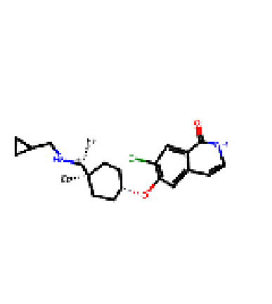 CC[C@@H](NCC1CC1)[C@]1(CC)CC[C@@H](Oc2cc3cc[nH]c(=O)c3cc2Cl)CC1